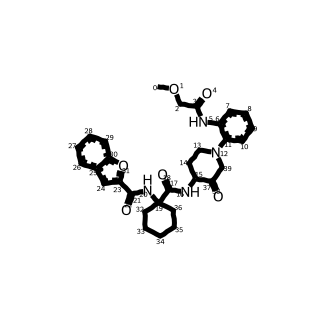 COCC(=O)Nc1ccccc1N1CCC(NC(=O)C2(NC(=O)c3cc4ccccc4o3)CCCCC2)C(=O)C1